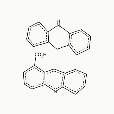 O=C(O)c1cccc2nc3ccccc3cc12.c1ccc2c(c1)Cc1ccccc1N2